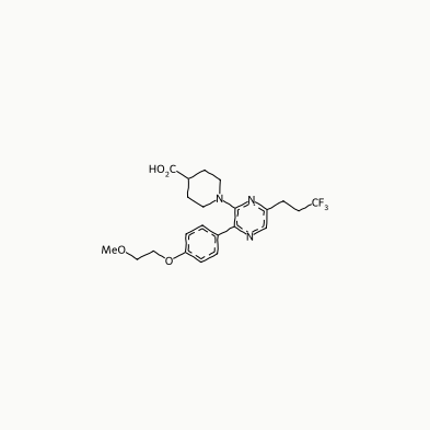 COCCOc1ccc(-c2ncc(CCC(F)(F)F)nc2N2CCC(C(=O)O)CC2)cc1